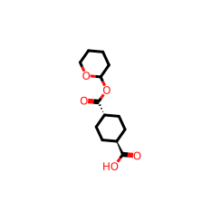 O=C(O)[C@H]1CC[C@H](C(=O)OC2CCCCO2)CC1